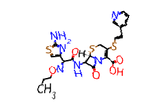 CCCON=C(C(=O)NC1C(=O)N2C(C(=O)O)=C(SC=Cc3cccnc3)CS[C@H]12)c1csc(N)n1